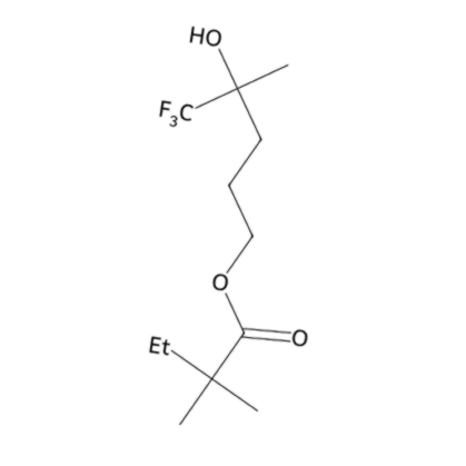 CCC(C)(C)C(=O)OCCCC(C)(O)C(F)(F)F